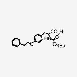 CC(C)(C)OC(=O)N[C@@H](Cc1ccc(OCCc2ccccc2)cc1)C(=O)O